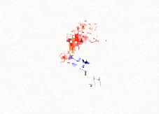 CCCCN1C=CN(C)C1OP(=O)(O)OP(=O)(O)OP(=O)(O)OP(=O)(O)OP(=O)(O)OP(=O)(O)O